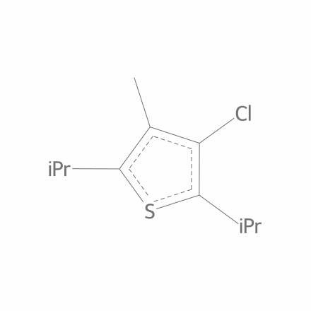 Cc1c(C(C)C)sc(C(C)C)c1Cl